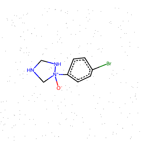 [O-][N+]1(c2ccc(Br)cc2)CNCN1